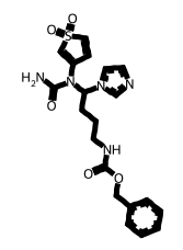 NC(=O)N(C1=CS(=O)(=O)C=C1)C(CCCNC(=O)OCc1ccccc1)n1ccnc1